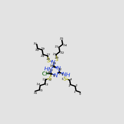 CCCCCSNC1=NC(Cl)(SCCCCC)NC(N(SCCCCC)SCCCCC)=N1